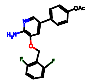 CC(=O)Oc1ccc(-c2cnc(N)c(OCc3c(F)cccc3F)c2)cc1